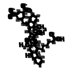 CC1(C)C=c2[nH]c3ccccc3c2=C(CCCCCC(=O)O)C1=CC1=C(O)C(C=C2N(Cc3cc([N+](=O)[O-])cc([N+](=O)[O-])c3)c3ccccc3C2(C)C)[C+]1[O-]